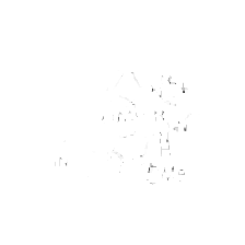 COc1cc(C2CCNCC2)ccc1Nc1ncc2nnn(-c3ccccc3OC)c2n1